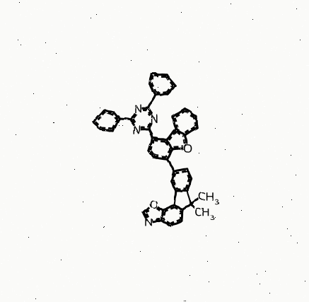 CC1(C)c2ccc(-c3ccc(-c4nc(-c5ccccc5)nc(-c5ccccc5)n4)c4c3oc3ccccc34)cc2-c2c1ccc1ncoc21